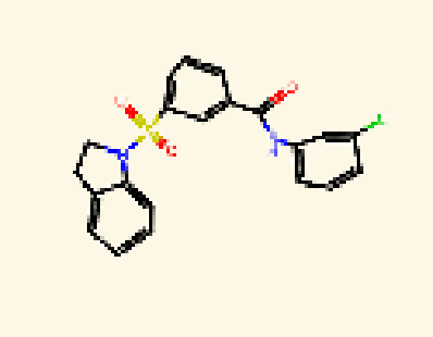 O=C(Nc1cccc(Cl)c1)c1cccc(S(=O)(=O)N2CCc3ccccc32)c1